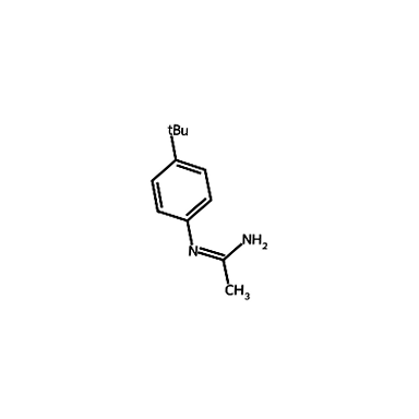 C/C(N)=N/c1ccc(C(C)(C)C)cc1